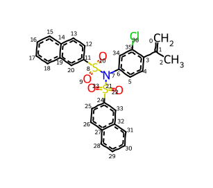 C=C(C)c1ccc(N(S(=O)(=O)c2ccc3ccccc3c2)S(=O)(=O)c2ccc3ccccc3c2)cc1Cl